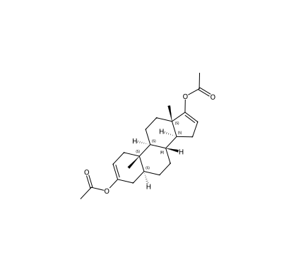 CC(=O)OC1=CC[C@@]2(C)[C@@H](CC[C@@H]3[C@@H]2CC[C@]2(C)C(OC(C)=O)=CC[C@@H]32)C1